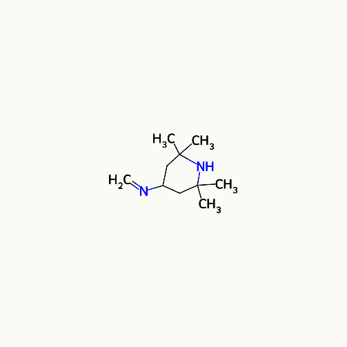 C=NC1CC(C)(C)NC(C)(C)C1